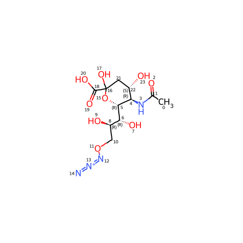 CC(=O)N[C@H]1[C@H]([C@H](O)[C@H](O)CON=[N+]=[N-])OC(O)(C(=O)O)C[C@@H]1O